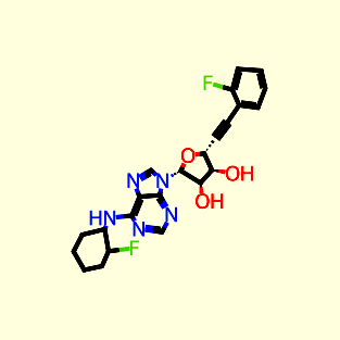 O[C@@H]1[C@H](O)[C@@H](C#Cc2ccccc2F)O[C@H]1n1cnc2c(NC3CCCCC3F)ncnc21